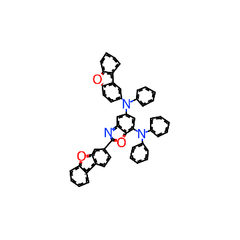 c1ccc(N(c2cc(N(c3ccccc3)c3ccccc3)c3oc(-c4ccc5c(c4)oc4ccccc45)nc3c2)c2ccc3oc4ccccc4c3c2)cc1